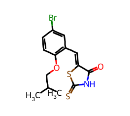 CC(C)COc1ccc(Br)cc1/C=C1\SC(=S)NC1=O